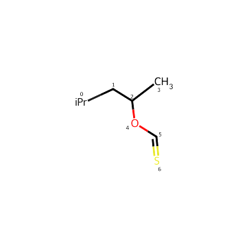 CC(C)CC(C)OC=S